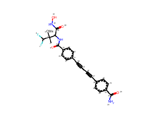 COC(C)(C(F)F)C(NC(=O)c1ccc(C#CC#Cc2ccc(C(N)=O)cc2)cc1)C(=O)NO